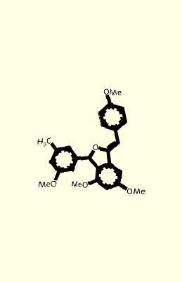 COc1ccc(/C=C2\OC(c3cc(C)cc(OC)c3)c3c(OC)cc(OC)cc32)cc1